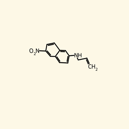 C=CCNc1ccc2cc([N+](=O)[O-])ccc2c1